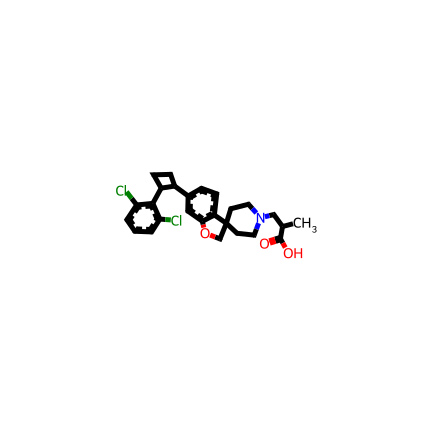 CC(CN1CCC2(CC1)COc1cc(C3CCC3c3c(Cl)cccc3Cl)ccc12)C(=O)O